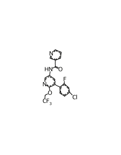 O=C(Nc1cnc(OCC(F)(F)F)c(-c2ccc(Cl)cc2F)c1)c1cccnc1